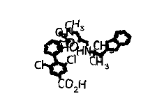 CN(CC(O)CNC(C)(C)CC1Cc2ccccc2C1)S(=O)(=O)c1cccc(-c2c(Cl)cc(C(=O)O)cc2Cl)c1